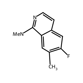 CNc1nccc2cc(F)c(C)cc12